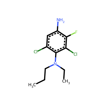 CCCN(CC)c1c(Cl)cc(N)c(F)c1Cl